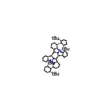 CC(C)(C)c1cccc(C(C)(C)C)c1-c1cccc2c3c4c5ccccc5n5c6c(-c7c(C(C)(C)C)cccc7C(C)(C)C)cccc6c(c6c7ccccc7n(c12)c63)c45